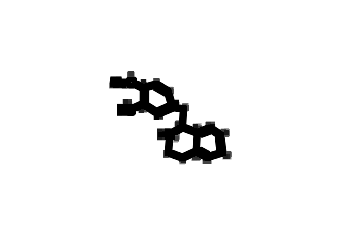 COc1ccc(CC2NCCc3ccccc32)cc1O